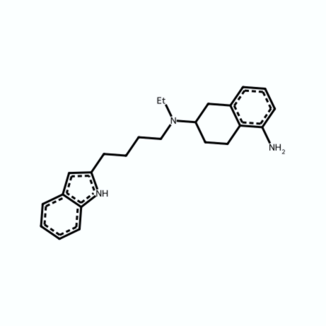 CCN(CCCCc1cc2ccccc2[nH]1)C1CCc2c(N)cccc2C1